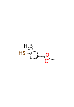 Bc1cc(C2OC(C)O2)ccc1S